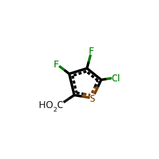 O=C(O)c1sc(Cl)c(F)c1F